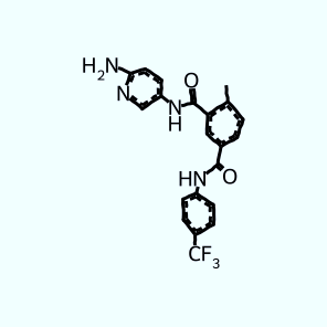 Cc1ccc(C(=O)Nc2ccc(C(F)(F)F)cc2)cc1C(=O)Nc1ccc(N)nc1